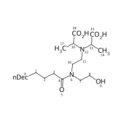 CCCCCCCCCCCCCC(=O)N(CCO)CCN(C(C)C(=O)O)C(C)C(=O)O